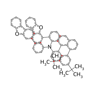 CC(C)(C)c1cc(-c2cccc3cccc(-c4ccccc4N(c4cccc(-c5ccc6c(c5)oc5ccccc56)c4)c4ccccc4-c4cccc5c4oc4ccccc45)c23)cc(C(C)(C)C)c1